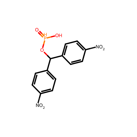 O=[N+]([O-])c1ccc(C(O[PH](=O)O)c2ccc([N+](=O)[O-])cc2)cc1